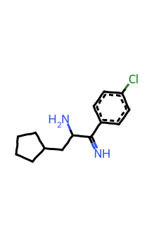 N=C(c1ccc(Cl)cc1)C(N)CC1CCCC1